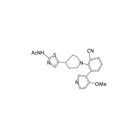 COc1ccncc1-c1cccc(C#N)c1N1CCC(c2cnc(NC(C)=O)s2)CC1